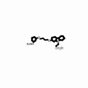 CCOC(=O)CCn1c2ccccc2c2ccc(OCCCCOc3cccc(NC(C)=O)c3)cc21